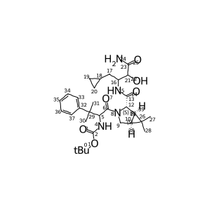 CC(C)(C)OC(=O)NC(C(=O)N1C[C@H]2[C@@H]([C@H]1C(=O)NC(CC1CC1)C(O)C(N)=O)C2(C)C)C(C)(C)c1ccccc1